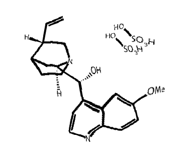 C=C[C@@H]1CN2CCC1C[C@@H]2[C@H](O)c1ccnc2ccc(OC)cc12.O=S(=O)(O)O.O=S(=O)(O)O